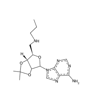 CCCNC[C@H]1OC(n2cnc3c(N)ncnc32)C2OC(C)(C)O[C@@H]21